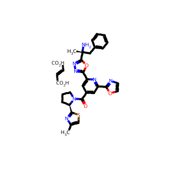 Cc1csc([C@H]2CCCN2C(=O)c2cc(-c3ncco3)nc(-c3nnc([C@](C)(N)Cc4ccccc4)o3)c2)n1.O=C(O)C=CC(=O)O